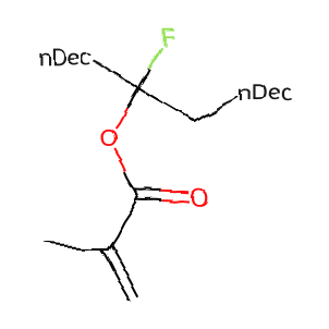 C=C(C)C(=O)OC(F)(CCCCCCCCCC)CCCCCCCCCCC